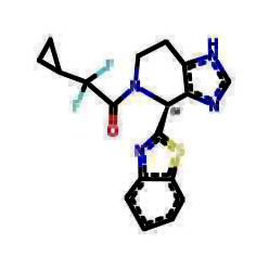 O=C(N1CCc2[nH]cnc2[C@H]1c1nc2ccccc2s1)C(F)(F)C1CC1